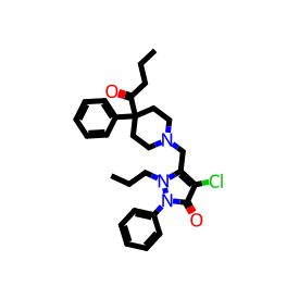 CCCC(=O)C1(c2ccccc2)CCN(Cc2c(Cl)c(=O)n(-c3ccccc3)n2CCC)CC1